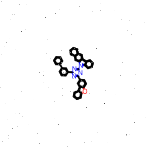 c1ccc(-c2cccc(-c3nc(-c4ccc5oc6ccccc6c5c4)nc(-n4c5ccccc5c5cc6ccccc6cc54)n3)c2)cc1